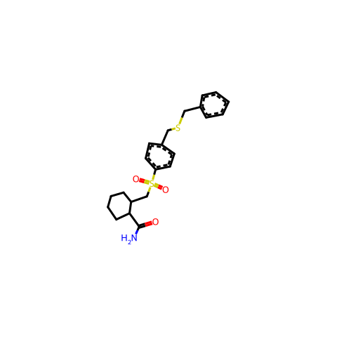 NC(=O)C1CCCCC1CS(=O)(=O)c1ccc(CSCc2ccccc2)cc1